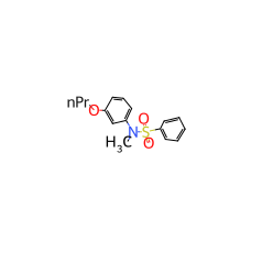 CCCOc1cccc(N(C)S(=O)(=O)c2ccccc2)c1